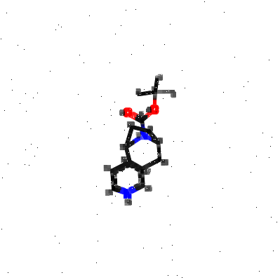 CC(C)(C)OC(=O)N1C2CCC1c1ccncc1C2